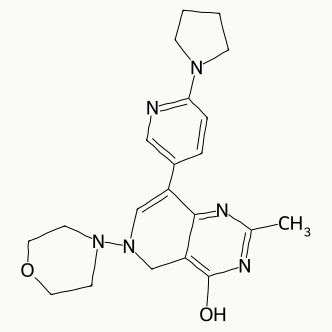 Cc1nc(O)c2c(n1)C(c1ccc(N3CCCC3)nc1)=CN(N1CCOCC1)C2